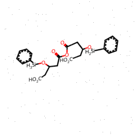 O=C(O)CC(CC(=O)OC(=O)CC(CC(=O)O)O[SiH2]c1ccccc1)O[SiH2]c1ccccc1